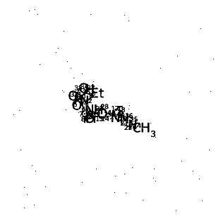 CC[C@@H]1CN(C(=O)[C@H](CC(C)C)NC(=O)c2ccc(-c3csc(N4CCN(C)CC4)n3)cc2)[C@@H]2C(=O)CO[C@H]12